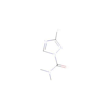 CC(C)c1ncn(C(=O)N(C)C)n1